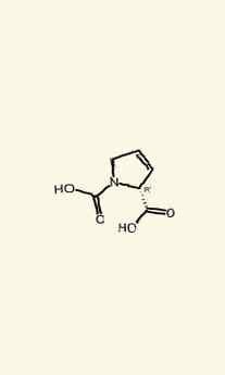 O=C(O)[C@H]1C=CCN1C(=O)O